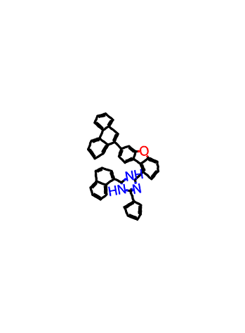 c1ccc(C2=NC(c3cccc4oc5cc(-c6cc7ccccc7c7ccccc67)ccc5c34)NC(c3cccc4ccccc34)N2)cc1